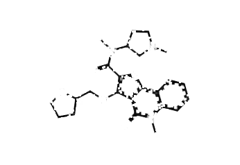 CN1CCC(N(C)C(=O)c2sc3c(c2OCC2CCCO2)c(=O)n(C)c2ccccc32)C1